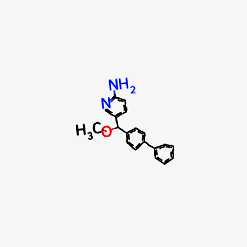 COC(c1ccc(-c2ccccc2)cc1)c1ccc(N)nc1